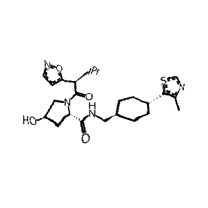 Cc1ncsc1[C@H]1CC[C@H](CNC(=O)[C@@H]2C[C@@H](O)CN2C(=O)[C@@H](c2ccno2)C(C)C)CC1